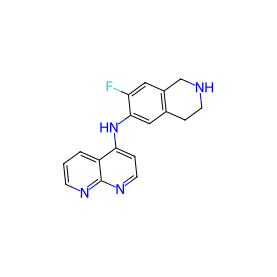 Fc1cc2c(cc1Nc1ccnc3ncccc13)CCNC2